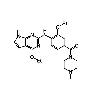 CCOc1cc(C(=O)N2CCN(C)CC2)ccc1Nc1nc(OCC)c2cc[nH]c2n1